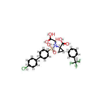 O=C(O)CN([C@]1(C(=O)O)C[C@H]1c1cccc(C(F)(F)F)c1)S(=O)(=O)c1ccc(-c2ccc(Cl)cc2)cc1